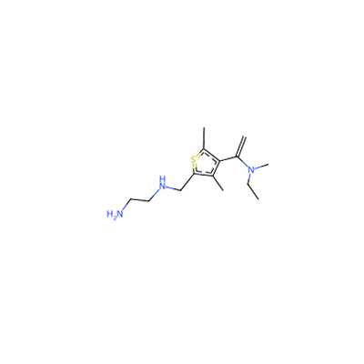 C=C(c1c(C)sc(CNCCN)c1C)N(C)CC